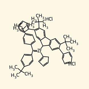 CC(C)(C)c1ccc([C](c2ccc(C(C)(C)C)cc2)=[Zr]([C]2=CC=CC2)[CH]2c3cc(-c4ccccc4)c(C(C)(C)C)cc3-c3cc(C(C)(C)C)c(-c4ccccc4)cc32)cc1.Cl.Cl